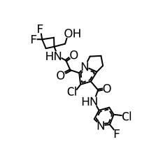 O=C(NC1(CO)CC(F)(F)C1)C(=O)c1c(Cl)c(C(=O)Nc2cnc(F)c(Cl)c2)c2n1CCC2